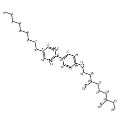 CCCCCCCCCc1cnc(-c2ccc(OCCC(F)CCCC(F)CC)cc2)nc1